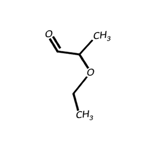 CCOC(C)C=O